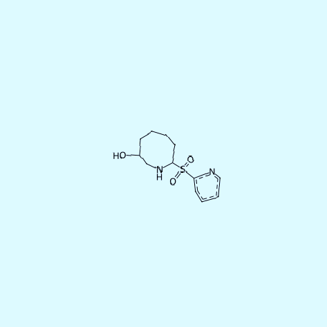 O=S(=O)(c1ccccn1)C1CCCCC(O)CN1